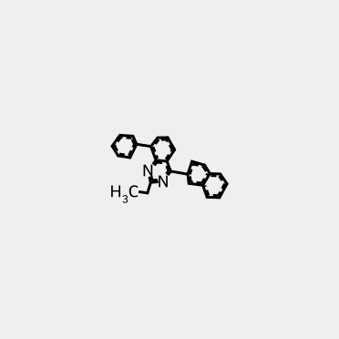 CCc1nc(-c2ccc3ccccc3c2)c2cccc(-c3ccccc3)c2n1